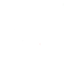 O=C(c1ccccc1)C(O)CCOCCl